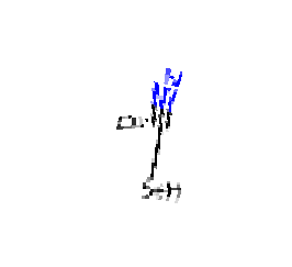 N#C[SeH].[Cu]